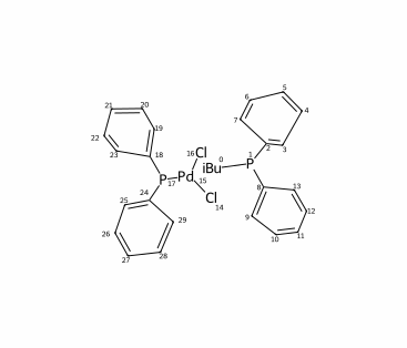 CCC(C)P(c1ccccc1)c1ccccc1.[Cl][Pd]([Cl])[P](c1ccccc1)c1ccccc1